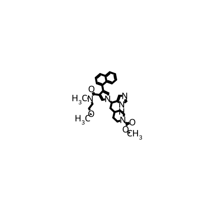 COCCN(C)C(=O)c1cn(C(CC2CCN(C(=O)OC)CC2)c2cnc[nH]2)cc1-c1cccc2ccccc12